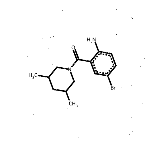 CC1CC(C)CN(C(=O)c2cc(Br)ccc2N)C1